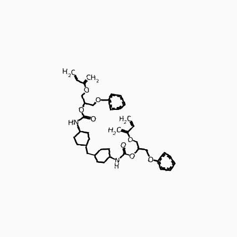 C=CC(=C)OCC(COc1ccccc1)OC(=O)NC1CCC(CC2CCC(NC(=O)OC(COC(=C)C=C)COc3ccccc3)CC2)CC1